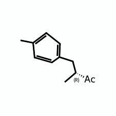 CC(=O)[C@H](C)Cc1ccc(C)cc1